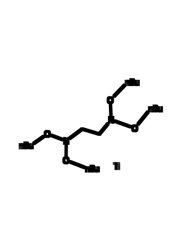 CCCCON(CCN(OCCCC)OCCCC)OCCCC.[Ti]